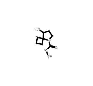 CC(C)(C)OC(=O)N1CCC(N)C12CCC2